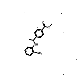 COC(=O)c1ccc(C(C)Nc2ccccc2N)cc1